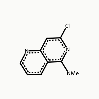 CNc1nc(Cl)cc2ncccc12